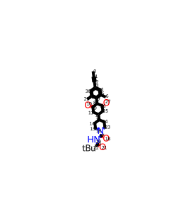 CC#Cc1cc(C)c(C2C(=O)CC(C3CCN(C(=O)NC(=O)C(C)(C)C)CC3)CC2=O)c(C)c1